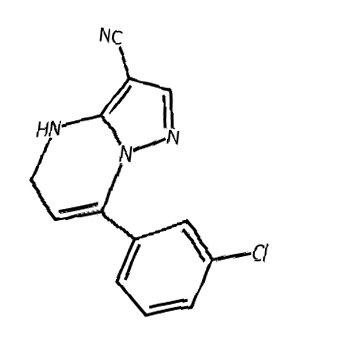 N#Cc1cnn2c1NCC=C2c1cccc(Cl)c1